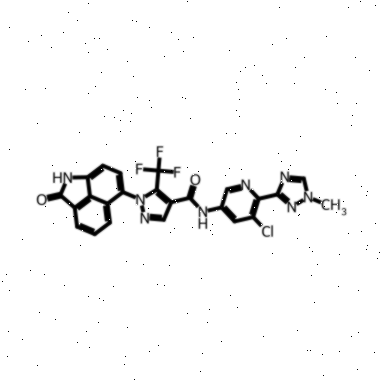 Cn1cnc(-c2ncc(NC(=O)c3cnn(-c4ccc5c6c(cccc46)C(=O)N5)c3C(F)(F)F)cc2Cl)n1